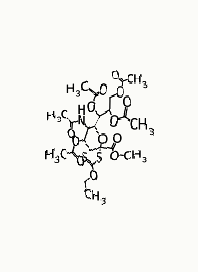 CCOC(=S)S[C@]1(C(=O)OC)CC(OC(C)=O)[C@@H](NC(C)=O)C(C(OC(C)=O)C(COC(C)=O)OC(C)=O)O1